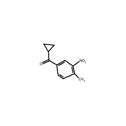 Cc1ccc(C(=O)C2CC2)cc1[N+](=O)[O-]